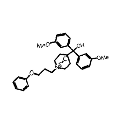 COc1cccc(C(O)(c2cccc(OC)c2)C23CC[N+](CCCOc4ccccc4)(CC2)CC3)c1